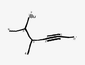 [CH2]C#CC(C)C(C)C(C)C[CH2]